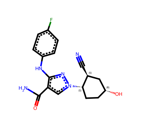 N#C[C@H]1C[C@H](O)CC[C@@H]1n1cc(C(N)=O)c(Nc2ccc(F)cc2)n1